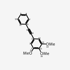 COc1cc(C#Cc2ccccc2)cc(OC)c1OC